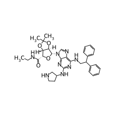 CCNC(=O)[C@H]1O[C@@H](n2cnc3c(NCC(c4ccccc4)c4ccccc4)nc(NC4CCNC4)nc32)[C@@H]2OC(C)(C)O[C@H]21